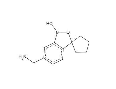 NCc1ccc2c(c1)B(O)OC21CCCC1